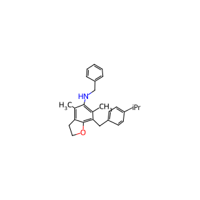 Cc1c2c(c(Cc3ccc(C(C)C)cc3)c(C)c1NCc1ccccc1)OCC2